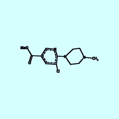 COC(=O)c1cnc(N2CCN(C)CC2)c(Cl)c1